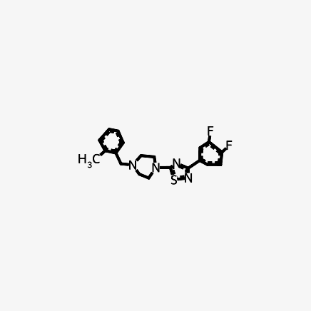 Cc1ccccc1CN1CCN(c2nc(-c3ccc(F)c(F)c3)ns2)CC1